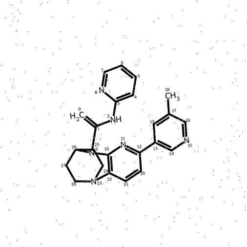 C=C(Nc1ccccn1)N1c2nc(-c3cncc(C)c3)ccc2N2CCC1CC2